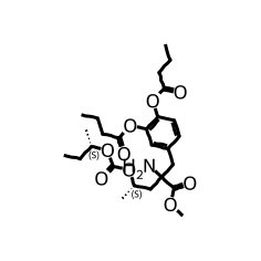 CCCC(=O)Oc1ccc(CC(N)(C[C@H](C)OC(=O)O[C@@H](C)CC)C(=O)OC)cc1OC(=O)CCC